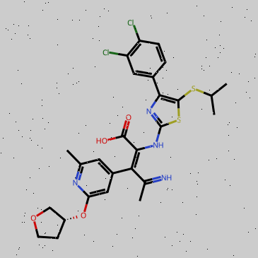 CC(=N)/C(=C(\Nc1nc(-c2ccc(Cl)c(Cl)c2)c(SC(C)C)s1)C(=O)O)c1cc(C)nc(O[C@@H]2CCOC2)c1